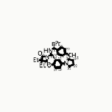 CCC[C@@H](NC(=O)N1C(=O)C(CC)(CC)[C@@H]1Oc1ccc(N2CCCC2)cc1)c1ccc(C)cc1